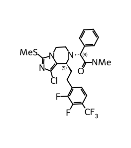 CNC(=O)[C@@H](c1ccccc1)N1CCn2c(SC)nc(Cl)c2[C@@H]1CCc1ccc(C(F)(F)F)c(F)c1F